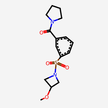 COC1CN(S(=O)(=O)c2cccc(C(=O)N3CCCC3)c2)C1